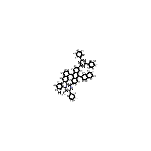 C=N/C(=N\C(=N/Cc1ccccc1)c1ccc2c(-c3ccc4ccccc4c3)c3cc(-c4nc(-c5ccccc5)nc(-c5ccccc5)n4)ccc3c(-c3cccc4ccccc34)c2c1)c1ccccc1